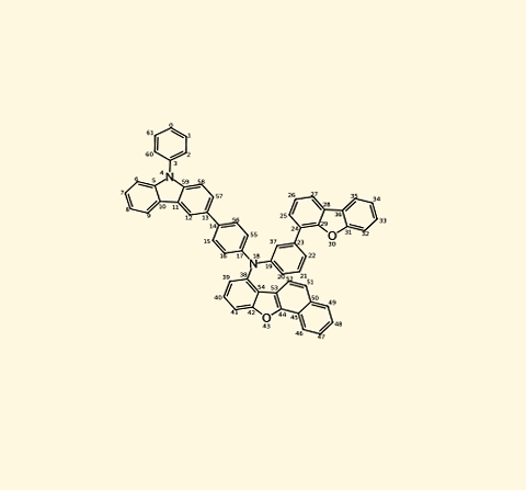 c1ccc(-n2c3ccccc3c3cc(-c4ccc(N(c5cccc(-c6cccc7c6oc6ccccc67)c5)c5cccc6oc7c8ccccc8ccc7c56)cc4)ccc32)cc1